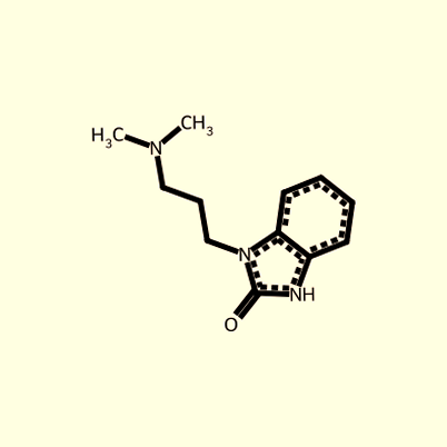 CN(C)CCCn1c(=O)[nH]c2ccccc21